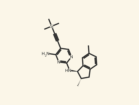 Cc1ccc2c(c1)[C@H](Nc1ncc(C#C[Si](C)(C)C)c(N)n1)[C@@H](C)C2